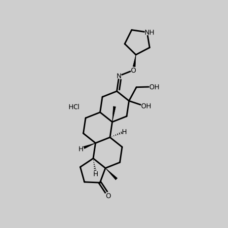 C[C@]12CC(O)(CO)C(=NO[C@H]3CCNC3)CC1CC[C@@H]1[C@@H]2CC[C@]2(C)C(=O)CC[C@@H]12.Cl